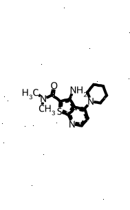 CN(C)C(=O)c1sc2nccc(N3CCCCC3)c2c1N